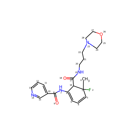 CC1(F)C=CC=C(NC(=O)c2cccnc2)C1C(=O)NCCCN1CCOCC1